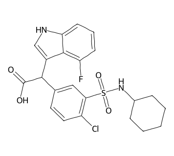 O=C(O)C(c1ccc(Cl)c(S(=O)(=O)NC2CCCCC2)c1)c1c[nH]c2cccc(F)c12